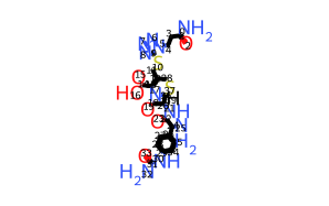 NC(=O)CCn1nnnc1SCC1=C(C(=O)O)N2C(=O)C(NC(=O)C(N)c3ccc(NC(N)=O)cc3)[C@H]2SC1